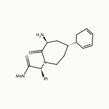 CNC(=O)[C@H](C(C)C)N1CC[C@@H](C2C=CC=CC2)C[C@H](N)C1=O